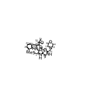 CSC[C@H](NC(=O)[C@H](C)NC(=O)CN1CCOCC1)C(=O)N[C@@H](Cc1ccccc1)C(=O)[C@@]1(C)CO1